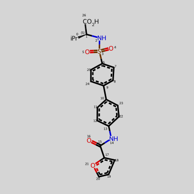 CC(C)[C@H](NS(=O)(=O)c1ccc(-c2ccc(NC(=O)c3ccco3)cc2)cc1)C(=O)O